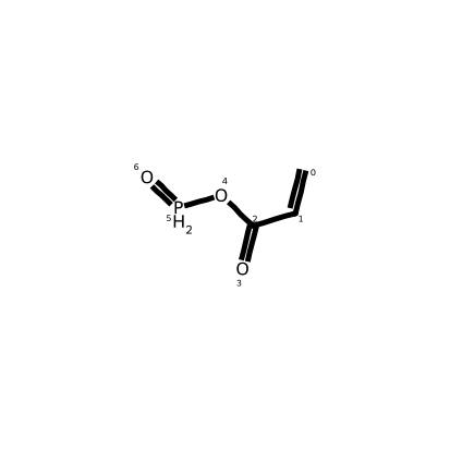 C=CC(=O)O[PH2]=O